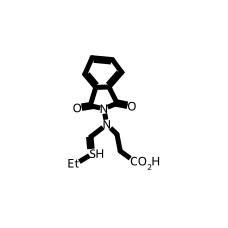 CC[SH]=CN(CCC(=O)O)N1C(=O)c2ccccc2C1=O